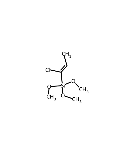 CC=C(Cl)[Si](OC)(OC)OC